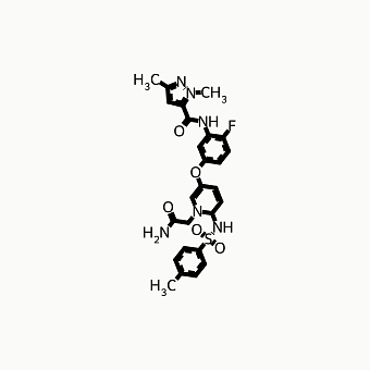 Cc1ccc(S(=O)(=O)NC2C=CC(Oc3ccc(F)c(NC(=O)c4cc(C)nn4C)c3)=CN2CC(N)=O)cc1